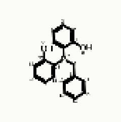 Oc1ccccc1P(Cc1ccccc1)c1ccccc1O